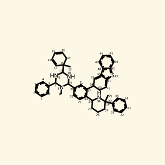 CN1C(c2ccccc2)NC(C2(C)C=CC=CC2)NC1c1ccc(C2CCCC(C)(c3ccccc3)N2)c(C2C=c3c(sc4ccccc34)=CC2)c1